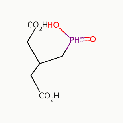 O=C(O)CC(CC(=O)O)C[PH](=O)O